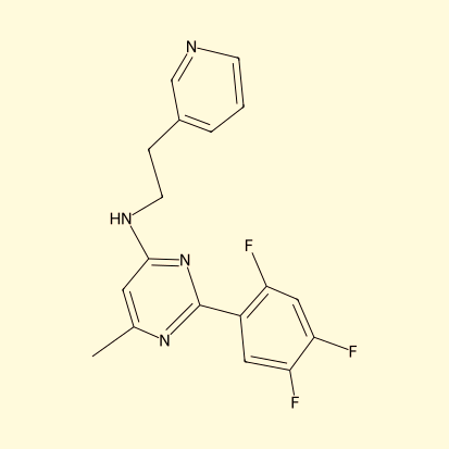 Cc1cc(NCCc2cccnc2)nc(-c2cc(F)c(F)cc2F)n1